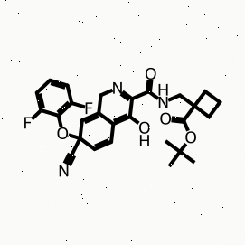 CC(C)(C)OC(=O)C1(CNC(=O)C2=NCC3=CC(C#N)(Oc4c(F)cccc4F)C=CC3=C2O)CCC1